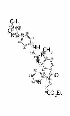 CCOC(=O)CCN(C(=O)c1ccc2c(c1)nc(CNc1ccc(-c3noc(C)n3)cc1)n2C)c1ccccn1